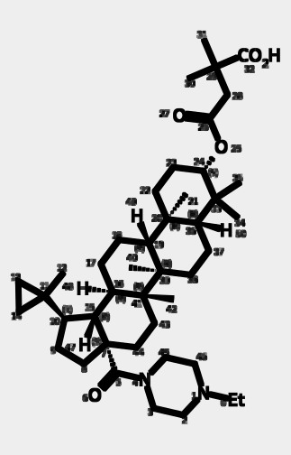 CCN1CCN(C(=O)[C@]23CC[C@@H](C4(C)CC4)[C@@H]2[C@H]2CC[C@@H]4[C@@]5(C)CC[C@H](OC(=O)CC(C)(C)C(=O)O)C(C)(C)[C@@H]5CC[C@@]4(C)[C@]2(C)CC3)CC1